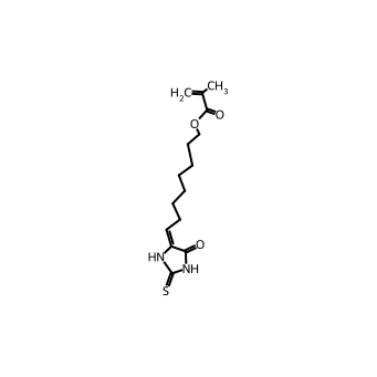 C=C(C)C(=O)OCCCCCCCC=C1NC(=S)NC1=O